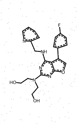 OCCN(CCO)c1nc(NCc2ccccn2)c2c(-c3ccc(F)cc3)coc2n1